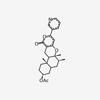 CC(=O)O[C@H]1CC[C@@]2(C)C(C1)C[C@H](C)[C@@]1(C)Oc3cc(-c4cccnc4)oc(=O)c3CC21